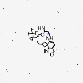 CCC1CC2(C1)C(=N)C(C=O)=CC=C2N/C=C\C(=N)OCCC1(C(F)(F)F)CC1